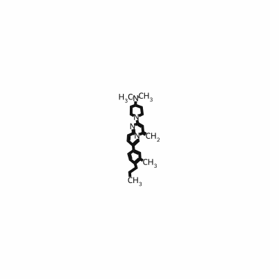 C=C1C=C(N2CCC(N(C)C)CC2)N=C2C=CC(c3ccc(CCC)c(C)c3)=CN12